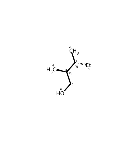 CC[C@@H](C)[C@H](C)CO